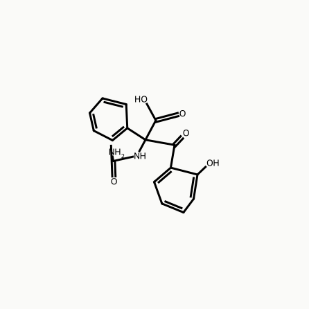 NC(=O)NC(C(=O)O)(C(=O)c1ccccc1O)c1ccccc1